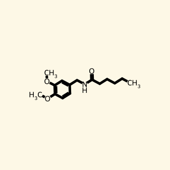 CCCCCC(=O)NCc1ccc(OC)c(OC)c1